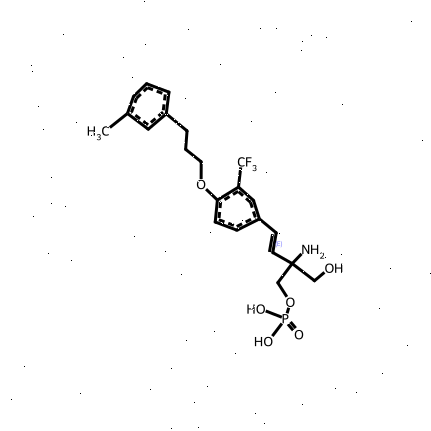 Cc1cccc(CCCOc2ccc(/C=C/C(N)(CO)COP(=O)(O)O)cc2C(F)(F)F)c1